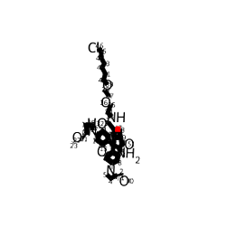 COC[C@H]1CCN1c1ccc2c(c1)Oc1cc(N3CC[C@@H]3COC)ccc1C21c2cc(C(O)NCCOCCOCCCCCCCl)ccc2C(=O)C1N